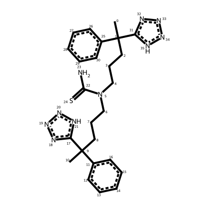 CC(CCCN(CCCC(C)(c1ccccc1)c1nnn[nH]1)C(N)=S)(c1ccccc1)c1nnn[nH]1